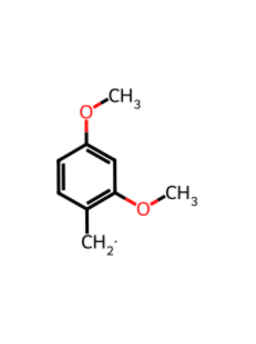 [CH2]c1ccc(OC)cc1OC